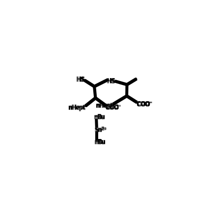 CCCCCCCC(C(=O)[O-])C(C)S.CCCCCCCC(C(=O)[O-])C(C)S.CCC[CH2][Sn+2][CH2]CCC